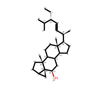 CC[C@H](/C=C/[C@@H](C)[C@H]1CCC2C3C[C@@H](O)[C@]45CC4CC[C@]5(C)C3CC[C@@]21C)C(C)C